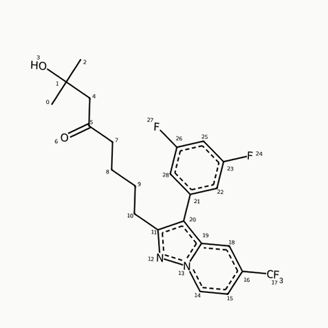 CC(C)(O)CC(=O)CCCCc1nn2ccc(C(F)(F)F)cc2c1-c1cc(F)cc(F)c1